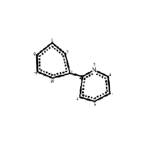 [c]1ccc(-c2ccccn2)cc1